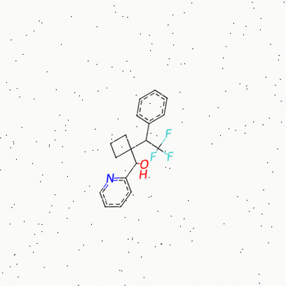 OC(c1ccccn1)C1(C(c2ccccc2)C(F)(F)F)CCC1